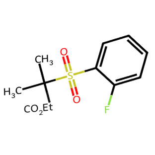 CCOC(=O)C(C)(C)S(=O)(=O)c1ccccc1F